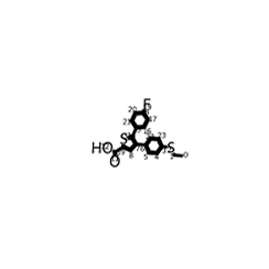 CCSc1ccc(-c2cc(C(=O)O)sc2-c2ccc(F)cc2)cc1